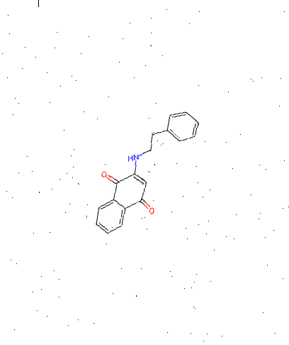 O=C1C=C(NCCc2ccccc2)C(=O)c2ccccc21